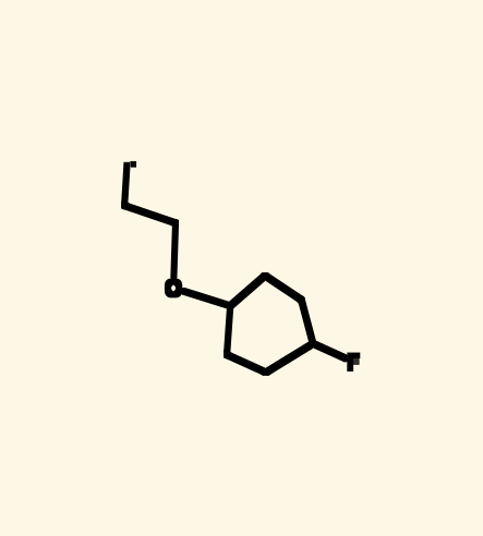 [CH2]CCOC1CCC(F)CC1